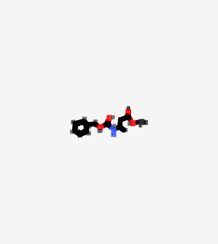 CC(CC(=O)OC(C)(C)C)NC(=O)OCc1ccccc1